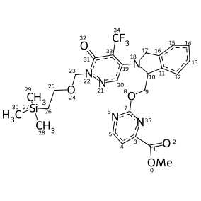 COC(=O)c1ccnc(OCC2c3ccccc3CN2c2cnn(COCC[Si](C)(C)C)c(=O)c2C(F)(F)F)n1